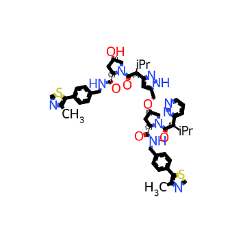 Cc1ncsc1-c1ccc(CNC(=O)[C@@H]2C[C@@H](OCc3cc([C@H](C(=O)N4C[C@H](O)C[C@H]4C(=O)NCc4ccc(-c5scnc5C)cc4)C(C)C)n[nH]3)CN2C(=O)[C@@H](c2cccnn2)C(C)C)cc1